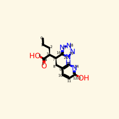 CCC[C@H](C(=O)O)[C@H](Cc1ccc(O)nc1)c1nnn[nH]1